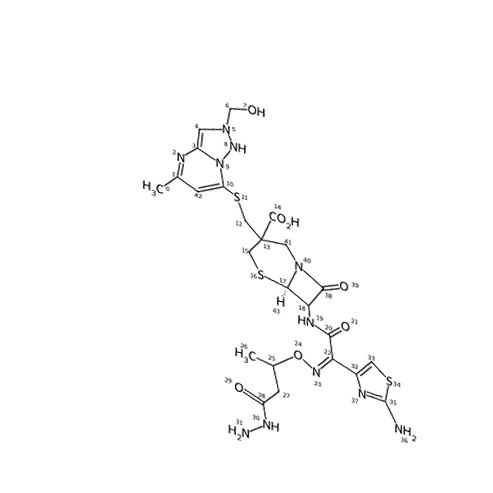 CC1=NC2=CN(CO)NN2C(SCC2(C(=O)O)CS[C@@H]3C(NC(=O)C(=NOC(C)CC(=O)NN)c4csc(N)n4)C(=O)N3C2)=C1